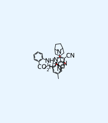 Cc1cc(C(C)Nc2ccccc2C(=O)O)c2nc(N3C4CCC3CC(c3ccnn3C)C4)c(C#N)nc2c1